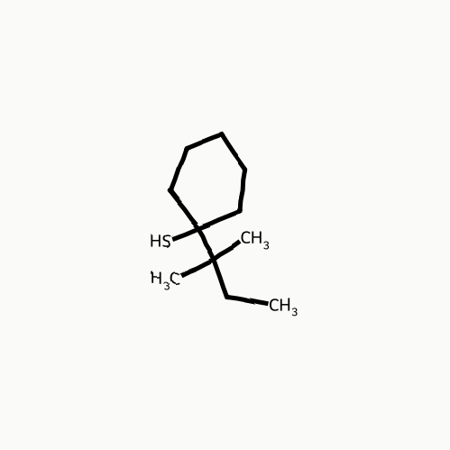 CCC(C)(C)C1(S)CCCCC1